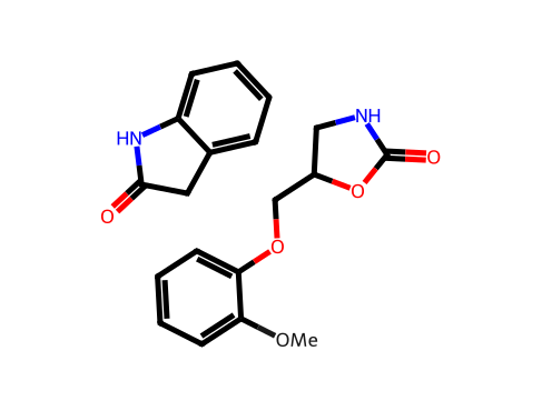 COc1ccccc1OCC1CNC(=O)O1.O=C1Cc2ccccc2N1